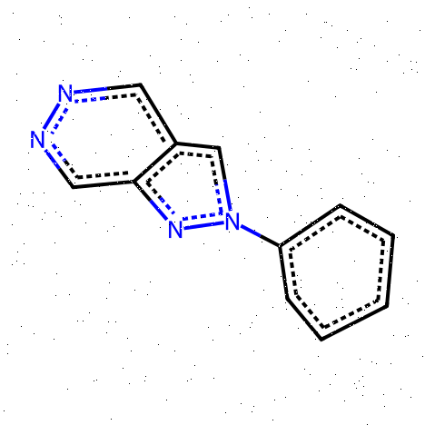 c1ccc(-n2cc3cnncc3n2)cc1